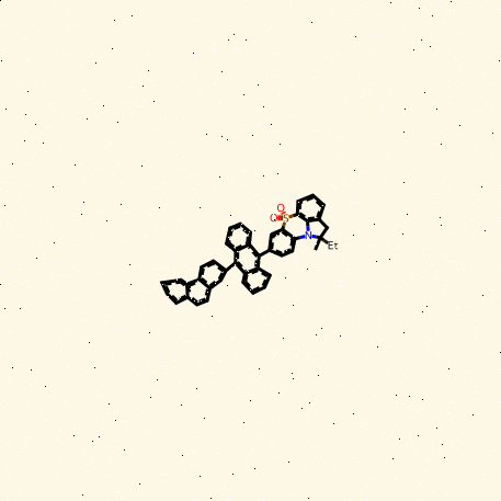 CCC1(C)Cc2cccc3c2N1c1ccc(-c2c4ccccc4c(-c4ccc5c(ccc6ccccc65)c4)c4ccccc24)cc1S3(=O)=O